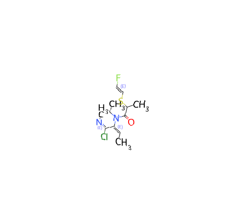 C/C=C(\C(Cl)=N/C)N(CC)C(=O)C(C)S/C=C/F